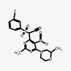 Cc1nc(C(C#N)S(=O)(=O)c2cccc(F)c2)c([N+](=O)[O-])c(N2CCOC(C)C2)n1